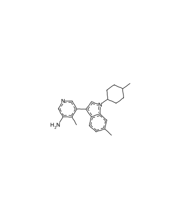 Cc1ccc2c(-c3cncc(N)c3C)cn(C3CCC(C)CC3)c2c1